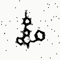 O=C(OCc1ccccc1)N1CCCC1c1nc(-c2ccc(Br)cc2)cs1